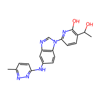 Cc1ccc(Nc2ccc3c(c2)ncn3-c2ccc(C(C)O)c(O)n2)nn1